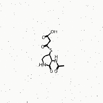 CC(=O)NC1C(=O)NCCC1SC(=O)CC(=O)O